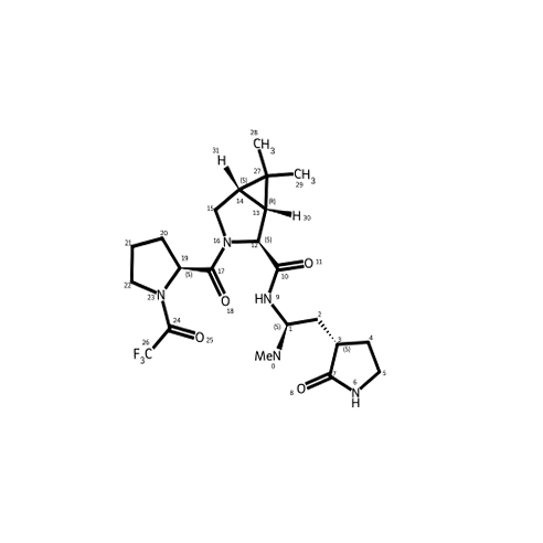 CN[C@H](C[C@@H]1CCNC1=O)NC(=O)[C@@H]1[C@@H]2[C@H](CN1C(=O)[C@@H]1CCCN1C(=O)C(F)(F)F)C2(C)C